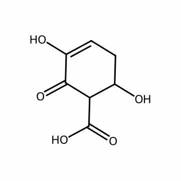 O=C(O)C1C(=O)C(O)=CCC1O